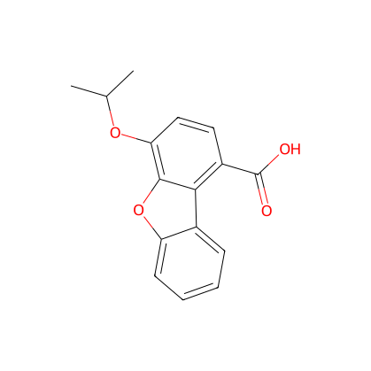 CC(C)Oc1ccc(C(=O)O)c2c1oc1ccccc12